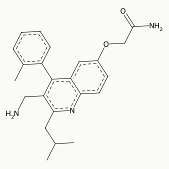 Cc1ccccc1-c1c(CN)c(CC(C)C)nc2ccc(OCC(N)=O)cc12